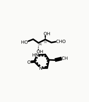 C#Cc1cnc(=O)[nH]c1.O=CC[C@H](O)[C@H](O)CO